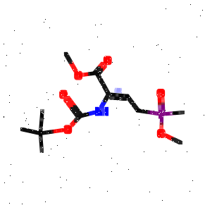 COC(=O)/C(=C/CP(C)(=O)OC)NC(=O)OC(C)(C)C